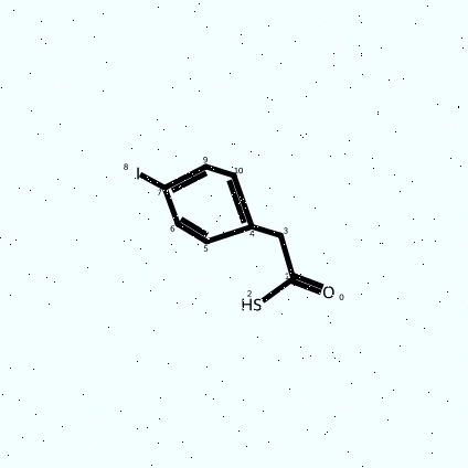 O=C(S)Cc1ccc(I)cc1